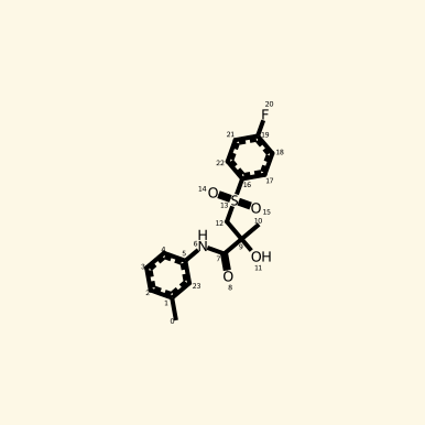 Cc1cccc(NC(=O)C(C)(O)CS(=O)(=O)c2ccc(F)cc2)c1